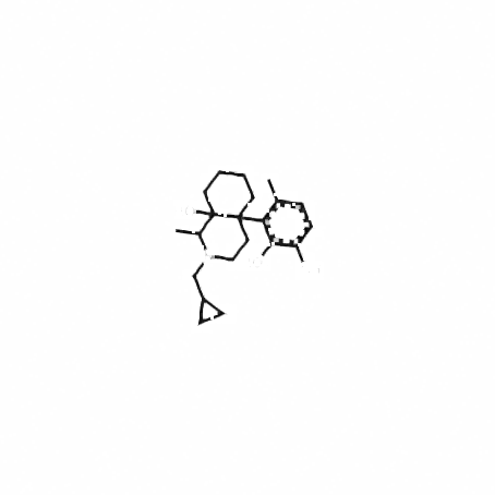 Cc1ccc(O)c(O)c1C12CCCCC1(O)C(C)N(CC1CC1)CC2